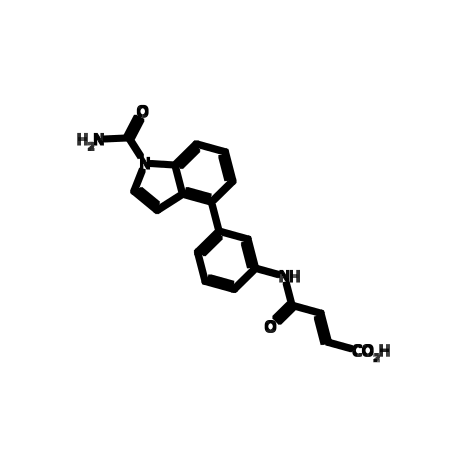 NC(=O)n1ccc2c(-c3cccc(NC(=O)/C=C/C(=O)O)c3)cccc21